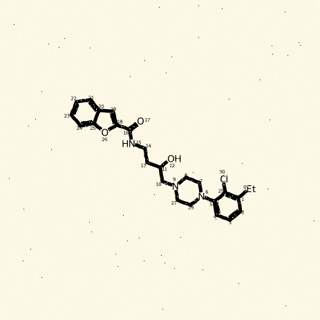 CCc1cccc(N2CCN(CC(O)CCNC(=O)c3cc4ccccc4o3)CC2)c1Cl